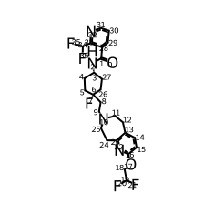 O=C(N[C@H]1CC[C@](F)(CCN2CCc3ccc(OCC(F)F)nc3CC2)CC1)c1cccnc1C(F)F